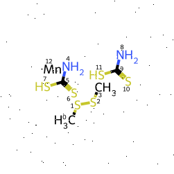 CSSC.NC(=S)S.NC(=S)S.[Mn]